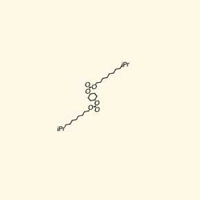 CC(C)CCCCCCCCOC(=O)OC1CCC(OC(=O)OCCCCCCCCC(C)C)CC1